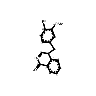 COc1cc(CC2C=NC(=O)c3ccccc32)ccc1F